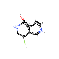 O=c1[nH]cc(F)c2cnccc12